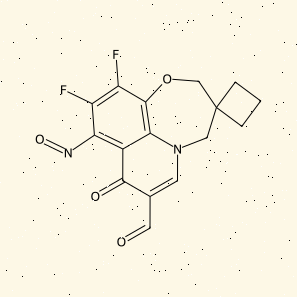 O=Cc1cn2c3c(c(F)c(F)c(N=O)c3c1=O)OCC1(CCC1)C2